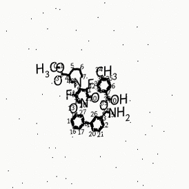 COC(=O)C1CCCN(c2c(F)c(Oc3cccc(-c4cccc(CN)c4)c3)nc(Oc3cc(C)ccc3C(=O)O)c2F)C1